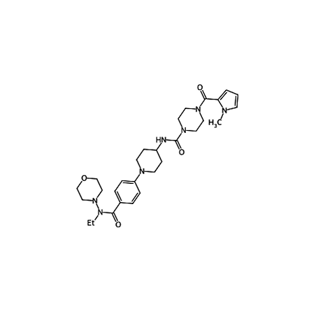 CCN(C(=O)c1ccc(N2CCC(NC(=O)N3CCN(C(=O)c4cccn4C)CC3)CC2)cc1)N1CCOCC1